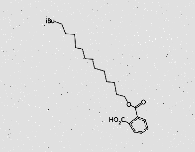 CCC(C)CCCCCCCCCCCCCOC(=O)c1ccccc1C(=O)O